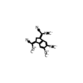 [C-]#[N+]/C(C#N)=C1/C/C(=C(\C#N)[N+]#[C-])c2cc([N+]#[C-])c([N+]#[C-])cc21